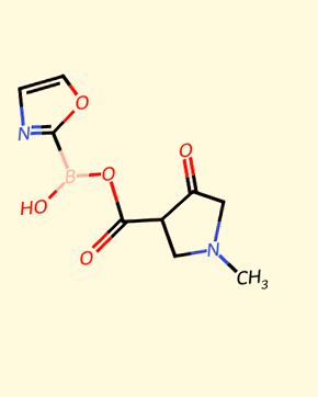 CN1CC(=O)C(C(=O)OB(O)c2ncco2)C1